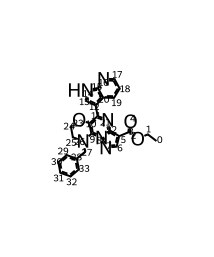 CCOC(=O)c1cnn2c3c(c(-c4c[nH]c5ncccc45)nc12)OCCN3Cc1ccccc1